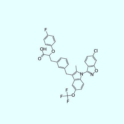 Cc1c(Cc2cccc(CC(Oc3ccc(F)cc3)C(=O)O)c2)c2cc(OC(F)(F)F)ccc2n1-c1noc2cc(Cl)ccc12